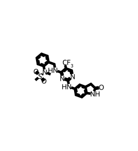 CN(c1ccccc1CNc1nc(Nc2ccc3c(c2)CC(=O)N3)ncc1C(F)(F)F)S(C)(=O)=O